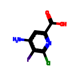 Nc1cc(C(=O)O)nc(Cl)c1I